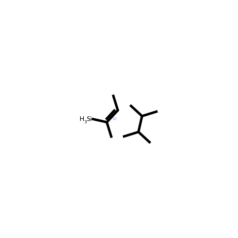 C/C=C(/C)[SiH3].CC(C)C(C)C